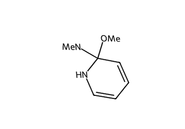 CNC1(OC)C=CC=CN1